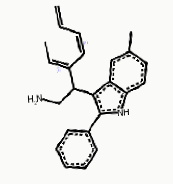 C=C/C=C\C(=C/C)C(CN)c1c(-c2ccccc2)[nH]c2ccc(C)cc12